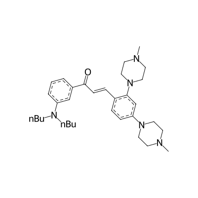 CCCCN(CCCC)c1cccc(C(=O)C=Cc2ccc(N3CCN(C)CC3)cc2N2CCN(C)CC2)c1